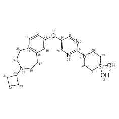 OS1(O)CCN(c2ncc(Oc3ccc4c(c3)CCN(C3CCC3)CC4)cn2)CC1